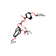 CCC(C)(C)C(=O)OC12CC3CC(OCOC)(CC(OC(=O)COC(=O)c4ccc(OCOC)cc4)(C3)C1)C2